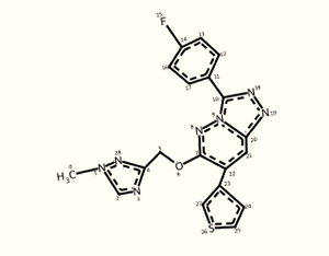 Cn1cnc(COc2nn3c(-c4ccc(F)cc4)nnc3cc2-c2ccsc2)n1